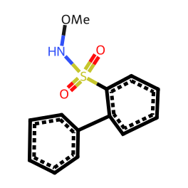 CONS(=O)(=O)c1ccccc1-c1ccccc1